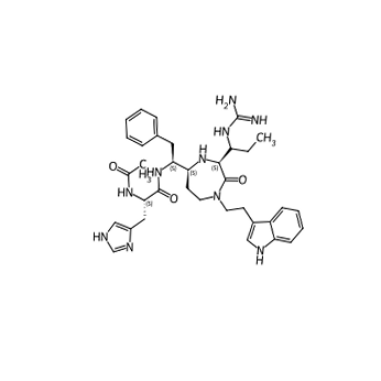 CCC(NC(=N)N)[C@@H]1N[C@H]([C@H](Cc2ccccc2)NC(=O)[C@H](Cc2c[nH]cn2)NC(C)=O)CCN(CCc2c[nH]c3ccccc23)C1=O